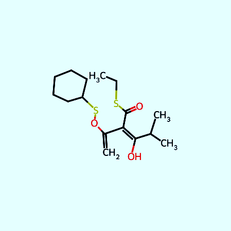 C=C(OSC1CCCCC1)/C(C(=O)SCC)=C(\O)C(C)C